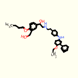 CCCCOc1ccc([C@@H](O)CNCCc2ccc(Nc3ccc(OCC)c(-c4ccccc4)c3)cc2)cc1CO